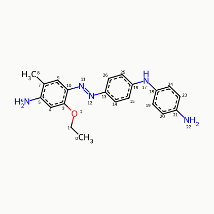 CCOc1cc(N)c(C)cc1N=Nc1ccc(Nc2ccc(N)cc2)cc1